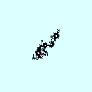 CCn1cncc1Cn1c(Cc2ccc(-c3cccc(OCc4ccc(C#N)cc4F)n3)cc2F)nc2ccc(C(=O)O)cc21